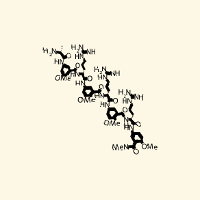 CNC(=O)c1cc(NC(=O)[C@@H](CCCNC(=N)N)NC(=O)c2cc(NC(=O)[C@@H](CCCNC(=N)N)NC(=O)c3cc(NC(=O)[C@@H](CCCNC(=N)N)NC(=O)c4cc(NC(=O)[C@@H](C)N)ccc4OC)ccc3OC)ccc2OC)ccc1OC